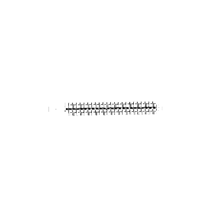 O=S(=O)(O)C(Br)(Br)C(Br)(Br)C(Br)(Br)C(Br)(Br)C(Br)(Br)C(Br)(Br)C(Br)(Br)C(Br)(Br)C(Br)(Br)C(Br)(Br)C(Br)(Br)C(Br)(Br)C(Br)(Br)C(Br)(Br)C(Br)(Br)C(Br)(Br)C(Br)(Br)C(Br)(Br)C(Br)(Br)C(Br)(Br)C(Br)(Br)C(Br)(Br)C(Br)(Br)C(Br)(Br)Br